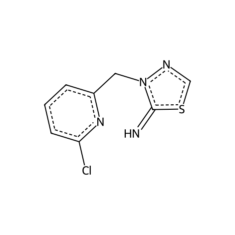 N=c1scnn1Cc1cccc(Cl)n1